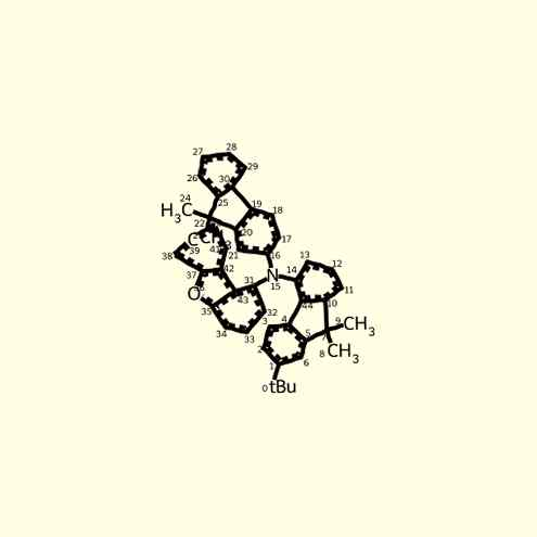 CC(C)(C)c1ccc2c(c1)C(C)(C)c1cccc(N(c3ccc4c(c3)C(C)(C)c3ccccc3-4)c3cccc4oc5ccccc5c34)c1-2